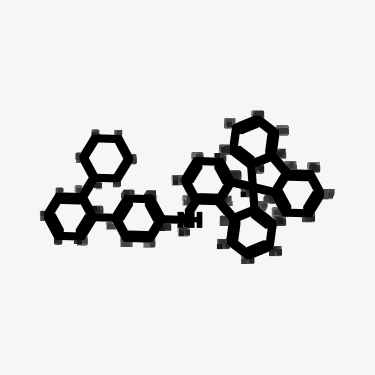 c1ccc(C2CCCCC2)c(-c2ccc(Nc3cccc4c3-c3ccccc3C43c4ccccc4-c4ccccc43)cc2)c1